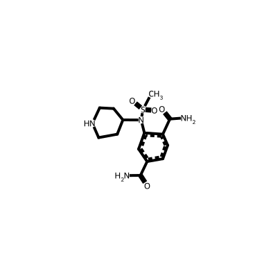 CS(=O)(=O)N(c1cc(C(N)=O)ccc1C(N)=O)C1CCNCC1